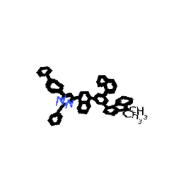 CC1(C)c2ccccc2-c2c(-c3cc(-c4cccc5ccccc45)cc(-c4ccc(-c5cc(-c6ccc(-c7ccccc7)cc6)nc(-c6ccccc6)n5)c5ccccc45)c3)cccc21